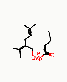 CC(C)=CCC(CO)=C(C)C.CCCC(=O)O